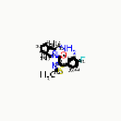 Cc1nc(C(=O)N2C[C@@H]3CCC[C@@H]3[C@H]2CN)c(-c2ccc(F)cc2)s1